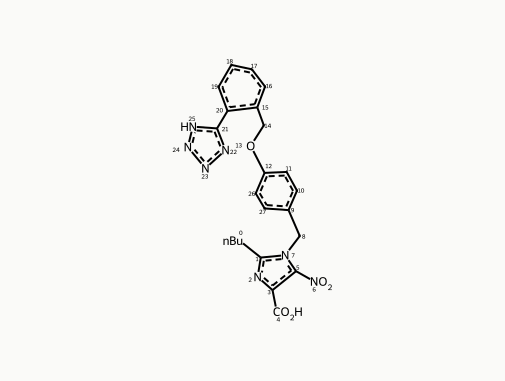 CCCCc1nc(C(=O)O)c([N+](=O)[O-])n1Cc1ccc(OCc2ccccc2-c2nnn[nH]2)cc1